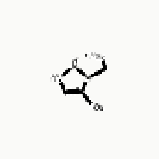 CCCCCCCN1NNC=C1CCCC